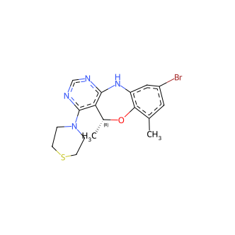 Cc1cc(Br)cc2c1O[C@H](C)c1c(ncnc1N1CCSCC1)N2